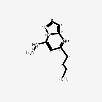 CCCCc1cc(NN)n2nccc2n1